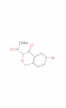 COC(=O)C1OCc2ccc(Br)cc2C1=O